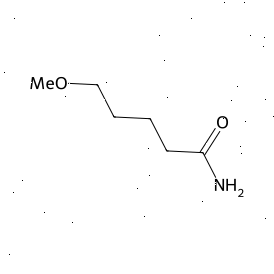 [CH2]OCCCCC(N)=O